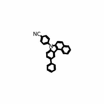 N#Cc1ccc(-n2c3ccc(-c4ccccc4)cc3c3c4ccccc4ccc32)cc1